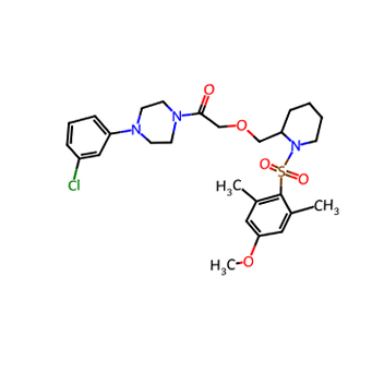 COc1cc(C)c(S(=O)(=O)N2CCCCC2COCC(=O)N2CCN(c3cccc(Cl)c3)CC2)c(C)c1